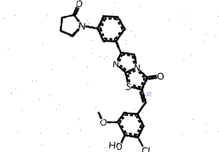 COc1cc(/C=c2\sc3nc(-c4cccc(N5CCCC5=O)c4)cn3c2=O)cc(Cl)c1O